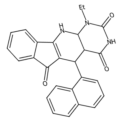 CCN1C(=O)NC(=O)C2C(c3cccc4ccccc34)C3=C(NC21)c1ccccc1C3=O